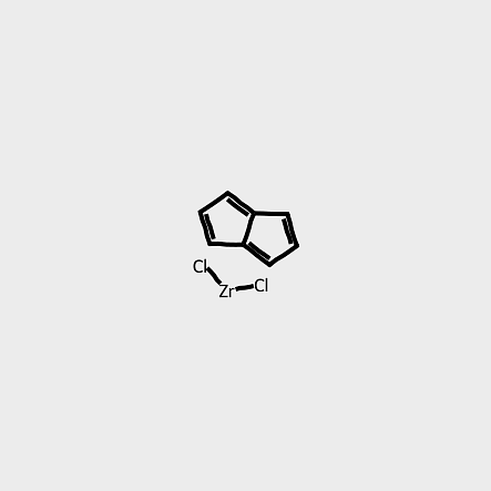 C1=CC2=CC=CC2=C1.[Cl][Zr][Cl]